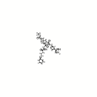 CC(C)(C)OC(=O)N1CC2(CC(C(=O)NCc3cc(C(=N)N)cs3)N(C(=O)CNC(=O)CCCOc3ccccc3)C2)C1